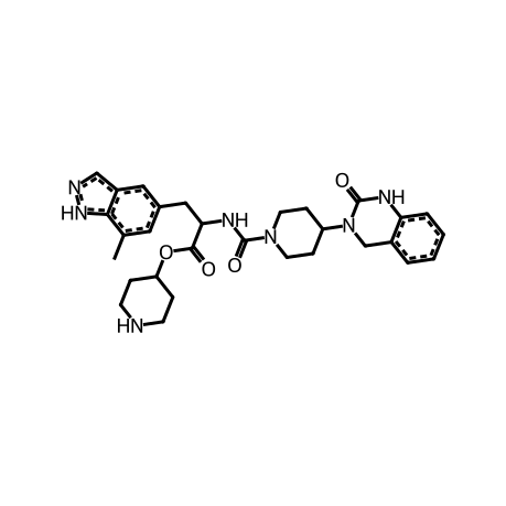 Cc1cc(CC(NC(=O)N2CCC(N3Cc4ccccc4NC3=O)CC2)C(=O)OC2CCNCC2)cc2cn[nH]c12